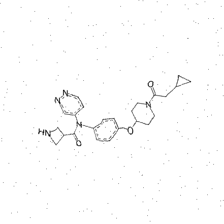 O=C(CC1CC1)N1CCC(Oc2ccc(N(C(=O)C3CNC3)c3ccnnc3)cc2)CC1